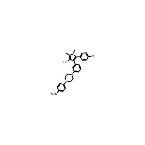 CNc1ccc(N2CCN(c3cccc(-c4c(C=O)c(C)n(C)c4-c4ccc(Cl)cc4)c3)CC2)cc1